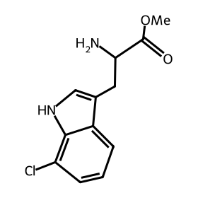 COC(=O)C(N)Cc1c[nH]c2c(Cl)cccc12